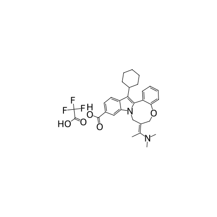 C/C(=C1/COc2ccccc2-c2c(C3CCCCC3)c3ccc(C(=O)O)cc3n2C1)N(C)C.O=C(O)C(F)(F)F